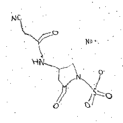 N#CCC(=O)NC1CN(S(=O)(=O)[O-])C1=O.[Na+]